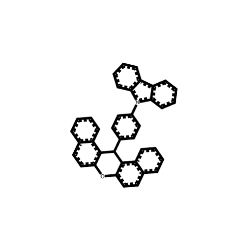 c1ccc2c3c(ccc2c1)Oc1ccc2ccccc2c1C3c1ccc(-n2c3ccccc3c3ccccc32)cc1